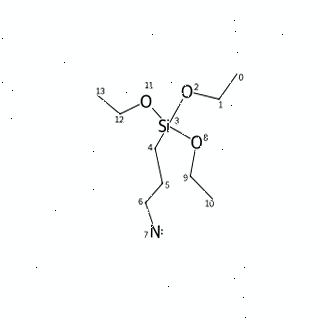 CCO[Si](CCC[N])(OCC)OCC